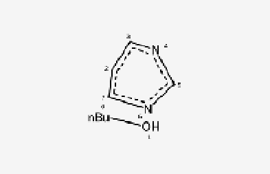 CCCCO.c1cncnc1